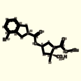 CC(C)(C)OC(=O)N1C[C@H](OC(=O)N2Cc3cccc(Br)c3C2)C[C@@]1(C)C(=O)O